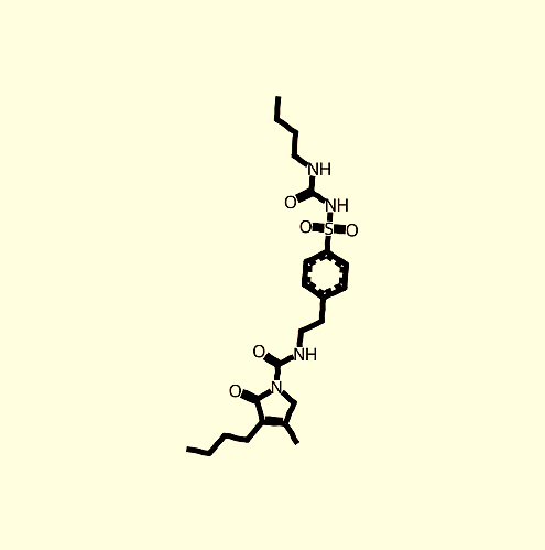 CCCCNC(=O)NS(=O)(=O)c1ccc(CCNC(=O)N2CC(C)=C(CCCC)C2=O)cc1